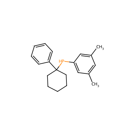 Cc1cc(C)cc(PC2(c3cc[c]cc3)CCCCC2)c1